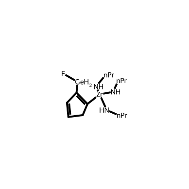 CCC[NH][Zr]([NH]CCC)([NH]CCC)[C]1=[C]([GeH2][F])C=CC1